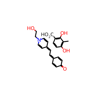 Cc1c(O)ccc(C(=O)O)c1O.O=C1C=CC(=CC=C2C=CN(CCO)C=C2)C=C1